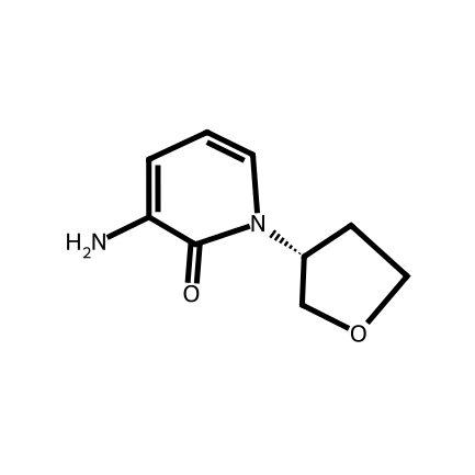 Nc1cccn([C@@H]2CCOC2)c1=O